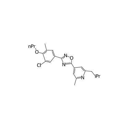 CCCOc1c(C)cc(-c2noc(-c3cc(C)nc(CC(C)C)c3)n2)cc1Cl